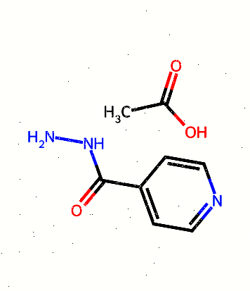 CC(=O)O.NNC(=O)c1ccncc1